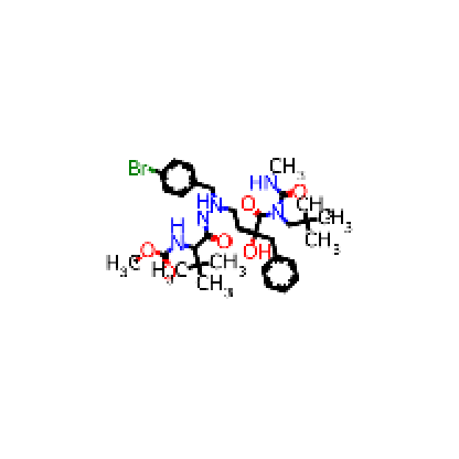 CNC(=O)N(CC(C)(C)C)C(=O)C(O)(CCN(Cc1ccc(Br)cc1)NC(=O)C(NC(=O)OC)C(C)(C)C)Cc1ccccc1